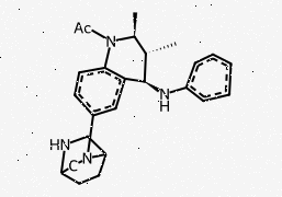 CC(=O)N1c2ccc(N3CC4CCC3CN4)cc2[C@H](Nc2ccccc2)[C@@H](C)[C@@H]1C